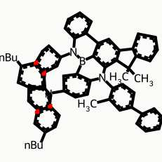 CCCCc1ccc(N(c2ccc(CCCC)cc2)c2ccc3c(c2)B2c4c(cc5c(c4N3c3ccc(-c4ccccc4)cc3C)C(C)(C)c3ccccc3-5)-c3ccccc3N2c2cccc(-c3ccccc3)c2)cc1